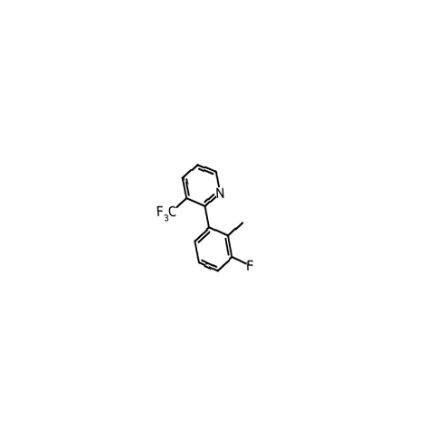 Cc1c(F)cccc1-c1ncccc1C(F)(F)F